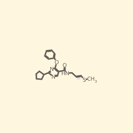 CS/C=C/CNC(=O)c1cnc(C2CCCC2)nc1Oc1ccccc1